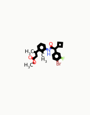 COC(=O)CC(C)c1cccc(NC(=O)C(c2ccc(Br)c(F)c2)C2CCC2)c1C